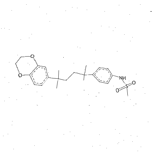 CC(C)(CCC(C)(C)c1ccc2c(c1)OCCO2)c1ccc(NS(C)(=O)=O)cc1